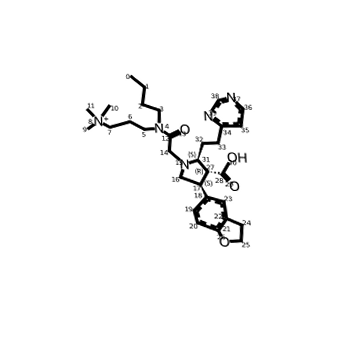 CCCCN(CCC[N+](C)(C)C)C(=O)CN1C[C@H](c2ccc3c(c2)CCO3)[C@@H](C(=O)O)[C@@H]1CCc1ccncn1